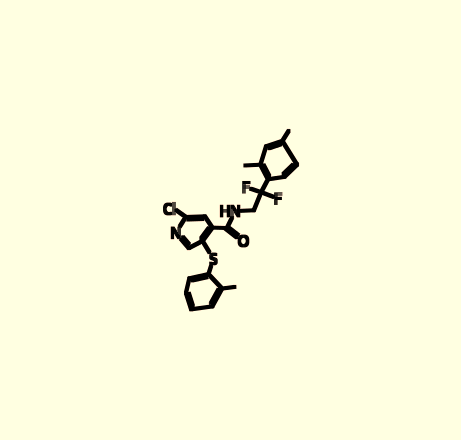 Cc1ccc(C(F)(F)CNC(=O)c2cc(Cl)ncc2Sc2ccccc2C)c(C)c1